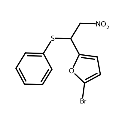 O=[N+]([O-])CC(Sc1ccccc1)c1ccc(Br)o1